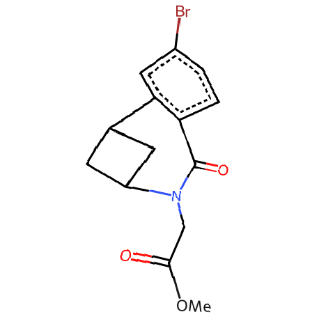 COC(=O)CN1C(=O)c2ccc(Br)cc2C2CC1C2